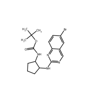 CC(C)(C)OC(=O)NC1CCCC1Nc1ncc2cc(Br)ccc2n1